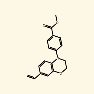 C=Cc1ccc2c(c1)OCCN2c1ccc(C(=O)OC)cc1